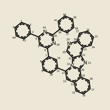 c1ccc(-c2cc(-c3cccc(-c4cc5ccccc5c5nc6c7ccccc7ncc6n45)c3)nc(-c3ccccc3)n2)cc1